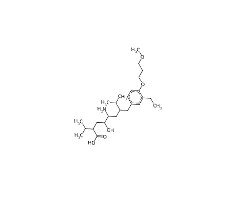 CCc1cc(CC(CC(N)C(O)CC(C(=O)O)C(C)C)C(C)C)ccc1OCCCOC